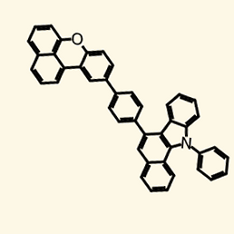 c1ccc(-n2c3ccccc3c3c(-c4ccc(-c5ccc6c(c5)-c5cccc7cccc(c57)O6)cc4)cc4ccccc4c32)cc1